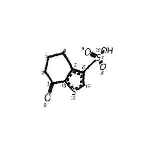 O=C1CCCc2c(S(=O)(=O)O)csc21